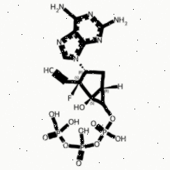 C#C[C@]1(F)[C@H](n2cnc3c(N)nc(N)nc32)C[C@@H]2C(OP(=O)(O)OP(=O)(O)OP(=O)(O)O)[C@@]21O